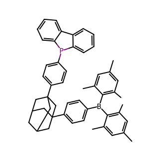 Cc1cc(C)c(B(c2ccc(C34CC5CC(C3)CC(c3ccc(-p6c7ccccc7c7ccccc76)cc3)(C5)C4)cc2)c2c(C)cc(C)cc2C)c(C)c1